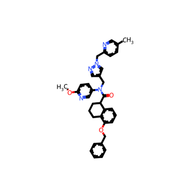 COc1ccc(N(Cc2cnn(Cc3ccc(C)cn3)c2)C(=O)C2CCCc3c(OCc4ccccc4)cccc32)cn1